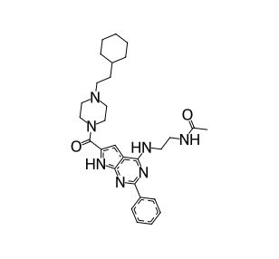 CC(=O)NCCNc1nc(-c2ccccc2)nc2[nH]c(C(=O)N3CCN(CCC4CCCCC4)CC3)cc12